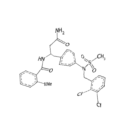 CNc1ccccc1C(=O)NC(CC(N)=O)c1ccc(N(Cc2cccc(Cl)c2Cl)S(C)(=O)=O)cc1